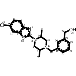 CC1CN(c2nc3ccc(Cl)cc3s2)C(C)CN1Cc1cccc(CO)c1